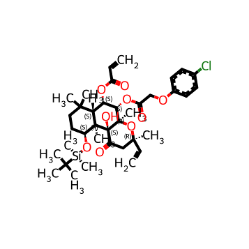 C=CC(=O)O[C@H]1[C@H]2C(C)(C)CC[C@H](O[Si](C)(C)C(C)(C)C)[C@]2(C)[C@@]2(O)C(=O)C[C@](C)(C=C)O[C@]2(C)[C@H]1OC(=O)COc1ccc(Cl)cc1